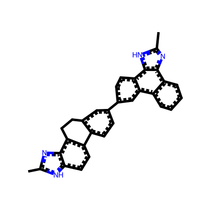 Cc1nc2c3c(ccc2[nH]1)-c1ccc(-c2ccc4c(c2)c2ccccc2c2nc(C)[nH]c42)cc1CC3